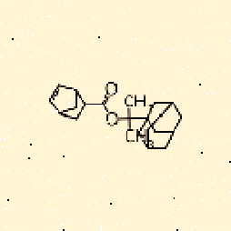 CC(C)(OC(=O)C1CC2C=CC1C2)C12CC3CC(CC(C3)C1)C2